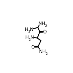 NC(=O)CC(N)C(=O)C(N)N